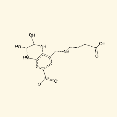 O=C(O)CCCNCc1cc([N+](=O)[O-])cc2c1NC(O)C(O)N2